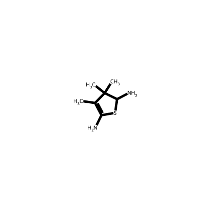 CC1=C(N)SC(N)C1(C)C